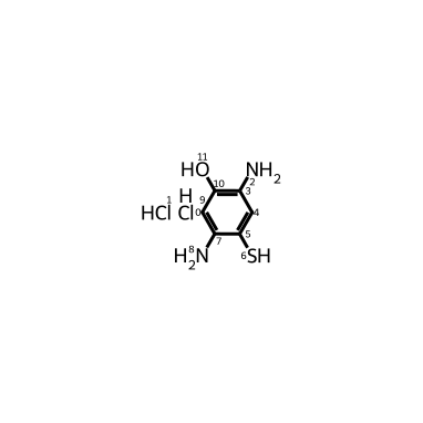 Cl.Cl.Nc1cc(S)c(N)cc1O